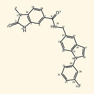 Cn1c(=O)[nH]c2cc(C(=O)NCc3ccc4c(ccn4-c4cccc(F)c4)c3)ccc21